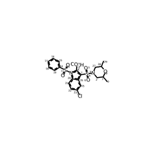 CC1CN(S(=O)(=O)c2c(C(=O)O)n(S(=O)(=O)c3ccccc3)c3ccc(Cl)cc23)CC(C)O1